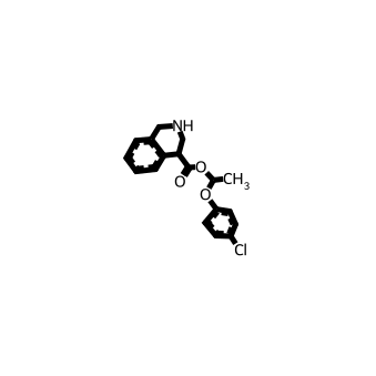 CC(OC(=O)C1CNCc2ccccc21)Oc1ccc(Cl)cc1